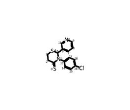 S=C1CCSC(c2cccnc2)N1c1ccc(Cl)cc1